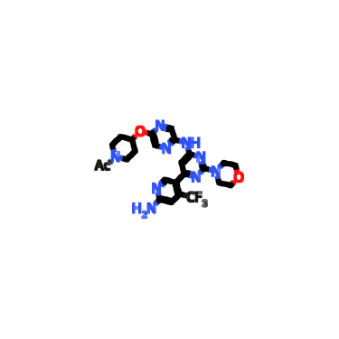 CC(=O)N1CCC(Oc2cnc(Nc3cc(-c4cnc(N)cc4C(F)(F)F)nc(N4CCOCC4)n3)cn2)CC1